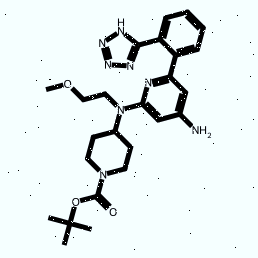 COCCN(c1cc(N)cc(-c2ccccc2-c2nnn[nH]2)n1)C1CCN(C(=O)OC(C)(C)C)CC1